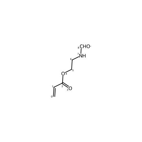 C=CC(=O)OCCN[C]=O